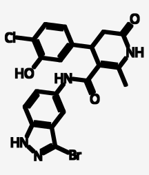 CC1=C(C(=O)Nc2ccc3[nH]nc(Br)c3c2)C(c2ccc(Cl)c(O)c2)CC(=O)N1